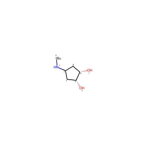 CC(C)(C)NC1C[C@@H](O)[C@@H](O)C1